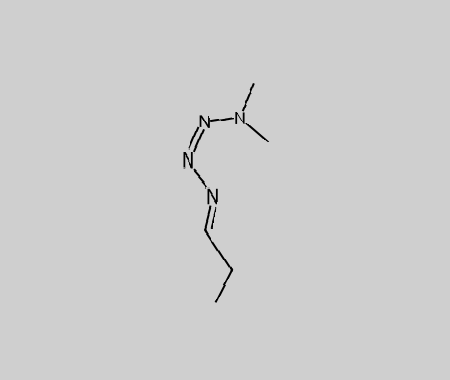 CC/C=N/N=N\N(C)C